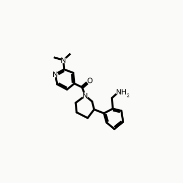 CN(C)c1cc(C(=O)N2CCCC(c3ccccc3CN)C2)ccn1